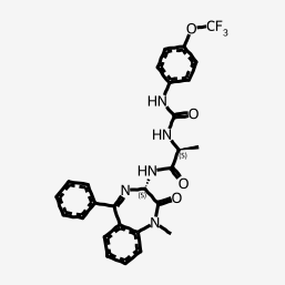 C[C@H](NC(=O)Nc1ccc(OC(F)(F)F)cc1)C(=O)N[C@H]1N=C(c2ccccc2)c2ccccc2N(C)C1=O